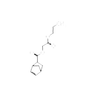 CCCOC(=O)COC(=O)C1CC2C=CC1C2